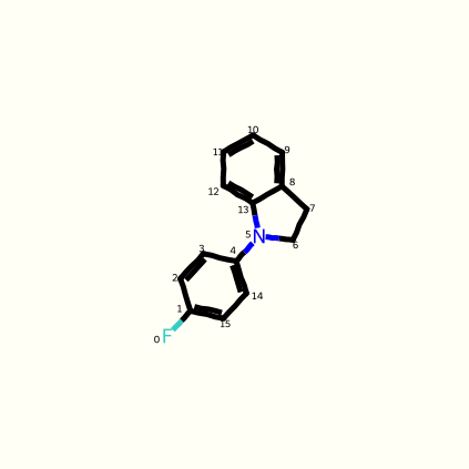 Fc1ccc(N2CCc3ccccc32)cc1